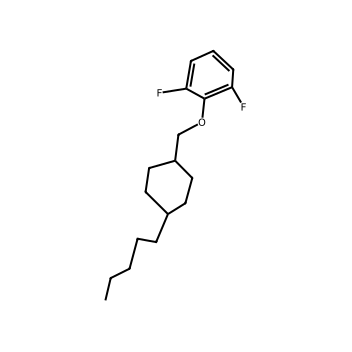 CCCCCC1CCC(COc2c(F)cccc2F)CC1